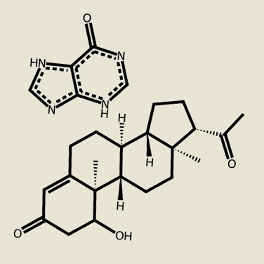 CC(=O)[C@H]1CC[C@H]2[C@@H]3CCC4=CC(=O)CC(O)[C@]4(C)[C@H]3CC[C@]12C.O=c1nc[nH]c2nc[nH]c12